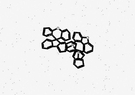 c1ccc(N(c2ccccc2)c2cccc3oc4cccc(N(c5ccccc5)c5ccc6c(c5)C5(c7ccccc7Oc7ccccc75)c5ccccc5-6)c4c23)cc1